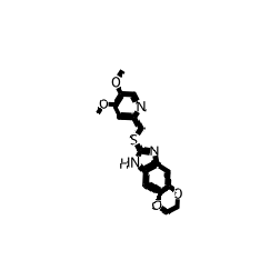 COc1cnc(CSc2nc3cc4c(cc3[nH]2)OCCO4)cc1OC